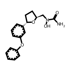 NC(=O)N(O)C[C@@H]1CC[C@@H](c2cccc(Oc3ccccc3)c2)O1